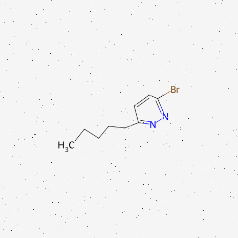 CCCCCc1ccc(Br)nn1